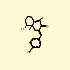 CC1=C2CCC[C@H](O)[C@@]2(C)C/C(=C\c2ccc(Cl)cc2)C1=O